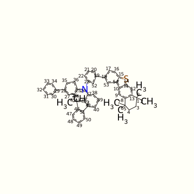 CC1(C)CCC(C)(C)c2cc3c(cc21)sc1ccc(-c2cccc(N(c4ccc(-c5ccccc5)cc4)c4cccc5c4C(C)(C)c4ccccc4-5)c2)cc13